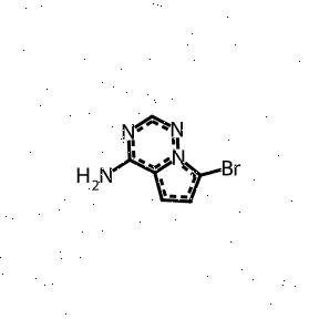 Nc1ncnn2c(Br)ccc12